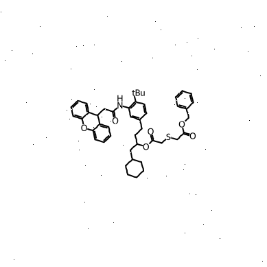 CC(C)(C)c1ccc(CCC(CC2CCCCC2)OC(=O)CSCC(=O)OCc2ccccc2)cc1NC(=O)CC1c2ccccc2Oc2ccccc21